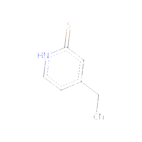 N#CCc1cc[nH]c(=S)c1